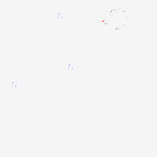 N#Cc1cc2c(c3c1C1c4ccccc4C3c3ccccc31)c1c3sc4cccc5sc(c3c45)c3c4c5c(c(C#N)cc4n2c13)C1c2ccccc2C12c1ccccc1C52